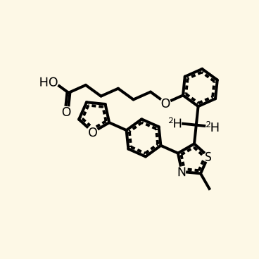 [2H]C([2H])(c1ccccc1OCCCCCC(=O)O)c1sc(C)nc1-c1ccc(-c2ccco2)cc1